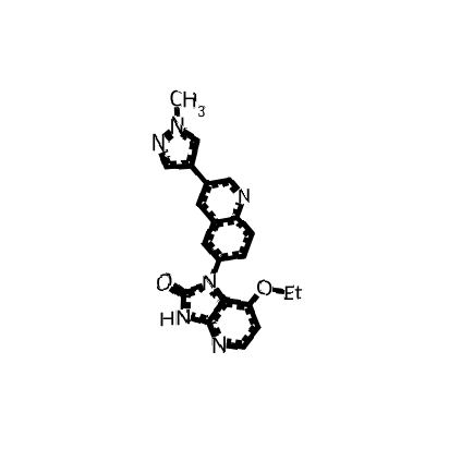 CCOc1ccnc2[nH]c(=O)n(-c3ccc4ncc(-c5cnn(C)c5)cc4c3)c12